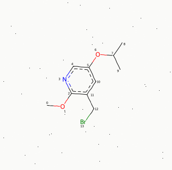 COc1ncc(OC(C)C)cc1CBr